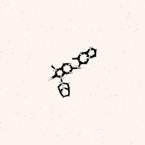 Cc1nc2nccn2cc1Nc1ncc2c(n1)n(N1CC3CCC(C1)O3)c(=O)n2C